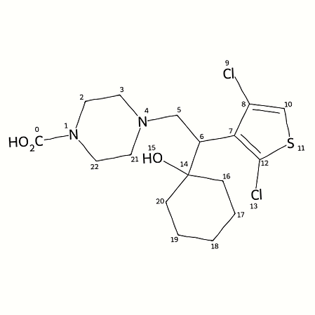 O=C(O)N1CCN(CC(c2c(Cl)csc2Cl)C2(O)CCCCC2)CC1